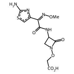 CON=C(C(=O)NC1CN(OCC(=O)O)C1=O)c1csc(N)n1